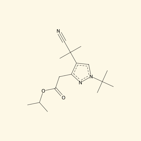 CC(C)OC(=O)Cc1nn(C(C)(C)C)cc1C(C)(C)C#N